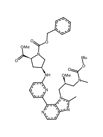 COC(=O)[C@@H]1C[C@H](Nc2cccc(-c3nccc4nc(C)n(C[C@H](CN(C)C(=O)OC(C)(C)C)OC)c34)n2)CN1C(=O)OCc1ccccc1